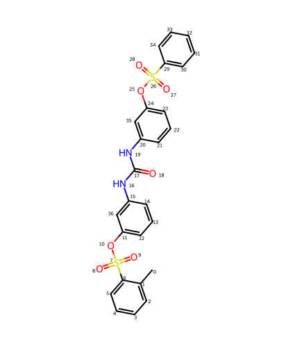 Cc1ccccc1S(=O)(=O)Oc1cccc(NC(=O)Nc2cccc(OS(=O)(=O)c3ccccc3)c2)c1